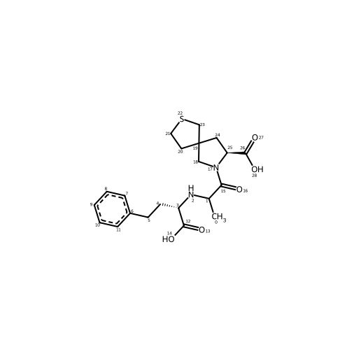 CC(N[C@@H](CCc1ccccc1)C(=O)O)C(=O)N1CC2(CCSC2)C[C@H]1C(=O)O